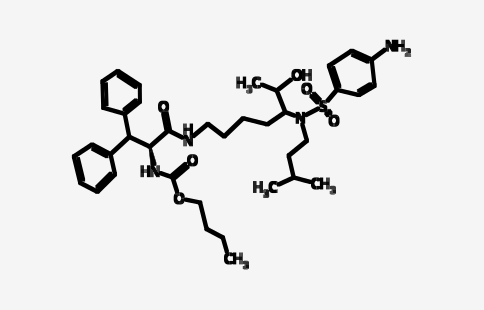 CCCCOC(=O)N[C@H](C(=O)NCCCCC(C(C)O)N(CCC(C)C)S(=O)(=O)c1ccc(N)cc1)C(c1ccccc1)c1ccccc1